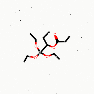 CCO[Si](OCC)(OCC)C(CC)OC(=O)CC